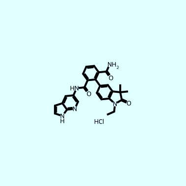 CCN1C(=O)C(C)(C)c2cc(-c3c(C(N)=O)cccc3C(=O)Nc3cnc4[nH]ccc4c3)ccc21.Cl